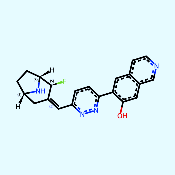 Oc1cc2cnccc2cc1-c1ccc(/C=C2/C[C@@H]3CC[C@@H](N3)[C@H]2F)nn1